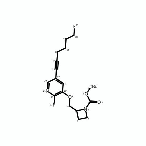 CC(C)(C)OC(=O)N1CCC1COc1cc(C#CCCCCF)cnc1F